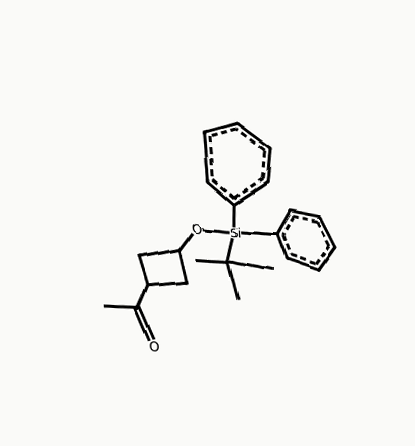 CC(=O)C1CC(O[Si](c2ccccc2)(c2ccccc2)C(C)(C)C)C1